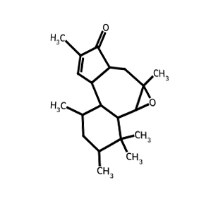 CC1=CC2C(CC3(C)OC3C3C2C(C)CC(C)C3(C)C)C1=O